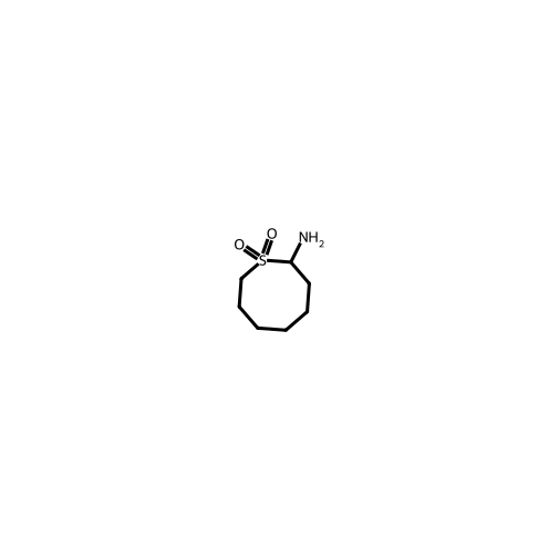 NC1CCCCCCS1(=O)=O